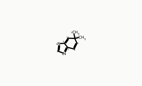 CC1(C)C=CC2=NC=NC2=C1